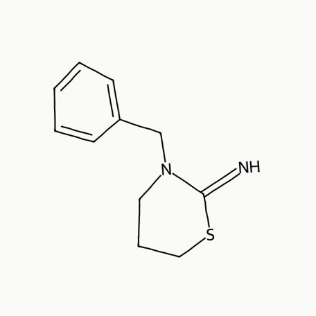 N=C1SCCCN1Cc1ccccc1